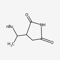 CCCCC(C)C1CC(=O)NC1=O